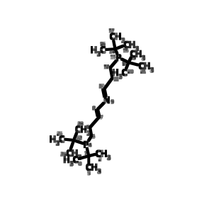 CC(C)(C)P(CCC=CN=CCCP(C(C)(C)C)C(C)(C)C)C(C)(C)C